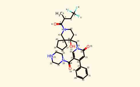 CC(CC(F)(F)F)C(=O)N1CC[C@](O)(Cn2cc(C(=O)N3CCNCC3)c(-c3ccccc3)cc2=O)C2(CCCC2)C1